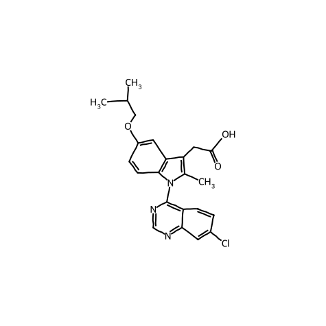 Cc1c(CC(=O)O)c2cc(OCC(C)C)ccc2n1-c1ncnc2cc(Cl)ccc12